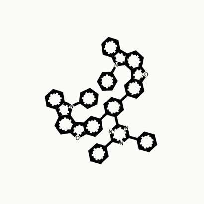 c1ccc(-c2nc(-c3ccccc3)nc(-c3cc(-c4ccc5oc6ccc7c8ccccc8n(-c8ccccc8)c7c6c5c4)ccc3-c3ccc4oc5ccc6c7ccccc7n(-c7ccccc7)c6c5c4c3)n2)cc1